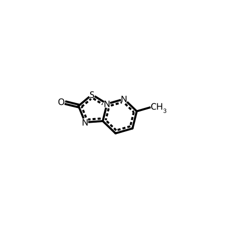 Cc1ccc2nc(=O)sn2n1